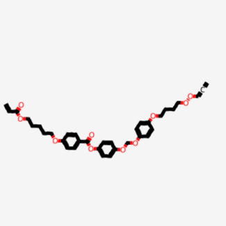 C=C=COOCCCCOc1ccc(OCOc2ccc(OC(=O)c3ccc(OCCCCCOC(=O)C=C)cc3)cc2)cc1